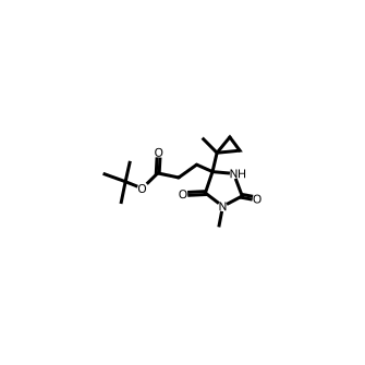 CN1C(=O)NC(CCC(=O)OC(C)(C)C)(C2(C)CC2)C1=O